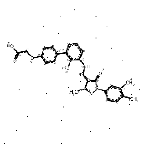 CC1=NN(c2ccc(C)c(C)c2)C(=O)C1=NNc1cccc(-c2ccc(OCC(=O)O)cc2)c1O